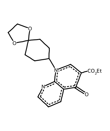 CCOC(=O)c1cn(C2CCC3(CC2)OCCO3)c2ncccc2c1=O